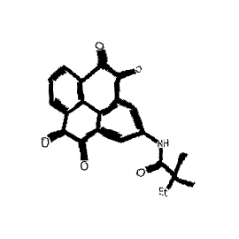 CCC(C)(C)C(=O)Nc1cc2c3c(c1)c(=O)c(=O)c1cccc(c1-3)c(=O)c2=O